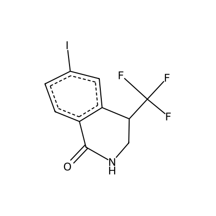 O=C1NCC(C(F)(F)F)c2cc(I)ccc21